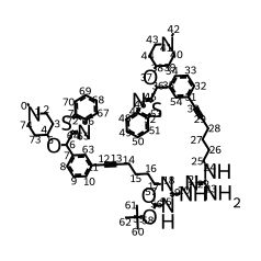 CN1CCC(OC(c2cccc(C#CCCCCN=C(NN=C(N)NCCCCC#Cc3cccc(C(OC4CCN(C)CC4)c4nc5ccccc5s4)c3)NC(=O)OC(C)(C)C)c2)c2nc3ccccc3s2)CC1